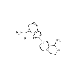 CC1NCCc2ccc(-n3cc4cccc(C(N)=O)c4n3)cc21